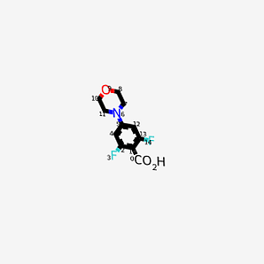 O=C(O)c1c(F)cc(N2CCOCC2)cc1F